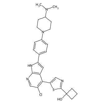 CN(C)C1CCN(c2ccc(-c3cc4c(-c5cnc(C6(O)CCC6)s5)c(Cl)cnc4[nH]3)cc2)CC1